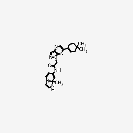 CC1(C)CC=C(c2cnc3cnn(CC(=O)NC4=CC5(C)NC=CN5C=C4)c3n2)CC1